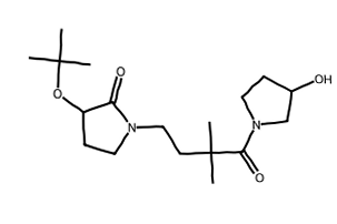 CC(C)(C)OC1CCN(CCC(C)(C)C(=O)N2CCC(O)C2)C1=O